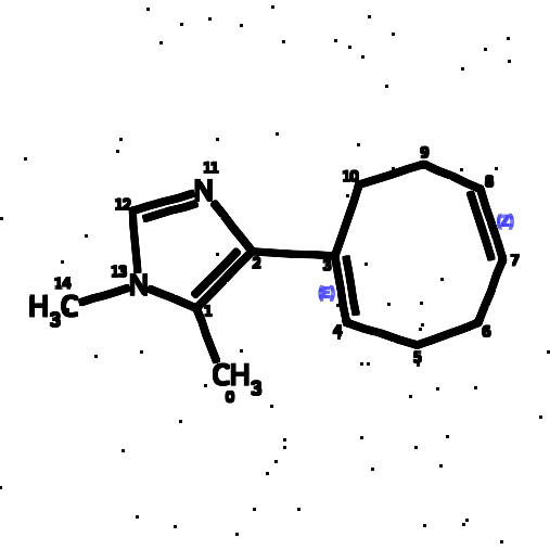 Cc1c(/C2=C/CC/C=C\CC2)ncn1C